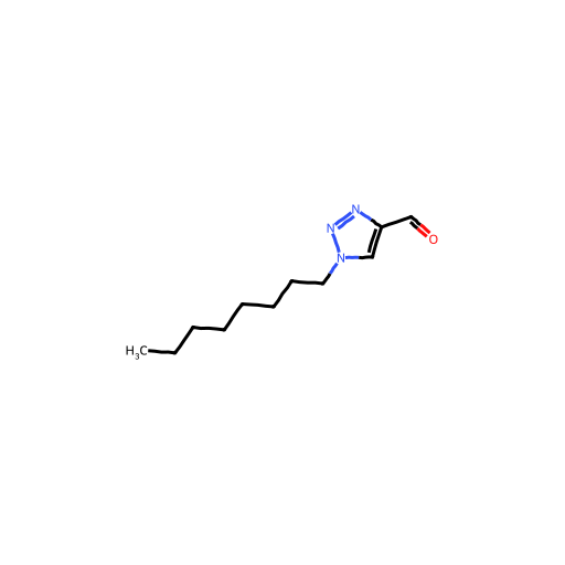 CCCCCCCCn1cc(C=O)nn1